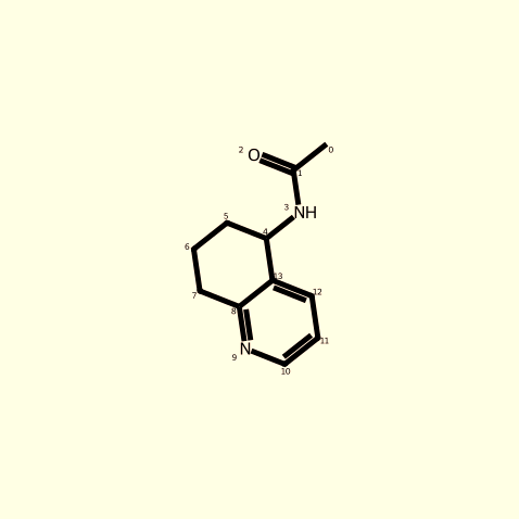 CC(=O)NC1CCCc2ncccc21